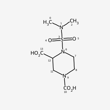 CN(C)S(=O)(=O)N1CCN(C(=O)O)CC1C(=O)O